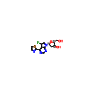 OC[C@H]1O[C@@H](n2cc(F)c3c(-c4nccs4)ncnc32)C[C@@H]1O